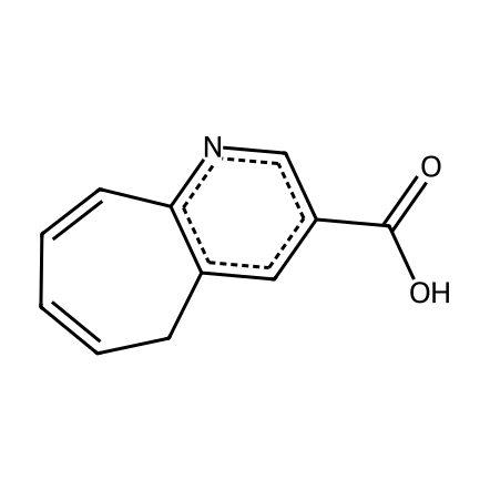 O=C(O)c1cnc2c(c1)CC=CC=C2